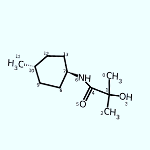 CC(C)(O)C(=O)N[C@H]1CC[C@H](C)CC1